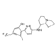 Cc1cc(C(F)(F)F)cc(O)c1-c1ccc(NC2CCCN3CCCC23)nn1